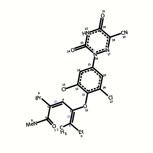 CC/C(C)=C(/C=C(\C(=O)NC)C(C)C)Oc1c(Cl)cc(-n2nc(C#N)c(=O)[nH]c2=O)cc1Cl